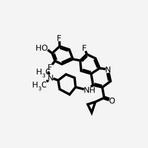 CN(C)C1CCC(Nc2c(C(=O)C3CC3)cnc3cc(F)c(-c4cc(F)c(O)c(F)c4)cc23)CC1